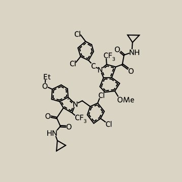 CCOc1ccc2c(c1)c(C(=O)C(=O)NC1CC1)c(C(F)(F)F)n2Cc1ccc(Cl)cc1Cl.COc1ccc2c(c1)c(C(=O)C(=O)NC1CC1)c(C(F)(F)F)n2Cc1ccc(Cl)cc1Cl